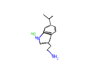 CC(C)c1ccc2c(CCN)c[nH]c2c1.Cl